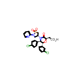 O=C(O)C[C@H]1O[C@H](c2cccc(Cl)c2)[C@@H](c2ccc(Cl)cc2)N([C@@H]2CN(c3ccccn3)S(=O)(=O)C2)C1=O